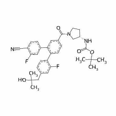 CC(C)(O)Cc1ccc(-c2ccc(C(=O)N3CC[C@H](NC(=O)OC(C)(C)C)C3)cc2-c2ccc(C#N)c(F)c2)c(F)c1